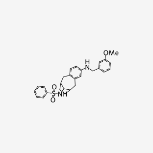 COc1cccc(CNc2ccc3c(c2)CC2CCC(C3)C2NS(=O)(=O)c2ccccc2)c1